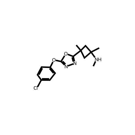 CNC1(C)CC(C)(c2nnc(Oc3ccc(Cl)cc3)o2)C1